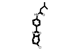 CC(C)CC(=O)Nc1ccc(-c2nc3ccc(Cl)cc3o2)cc1